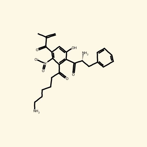 C=C(C)C(=O)c1cc(O)c(C(=O)[C@H](N)Cc2ccccc2)c(C(=O)CCCCCN)c1[N+](=O)[O-]